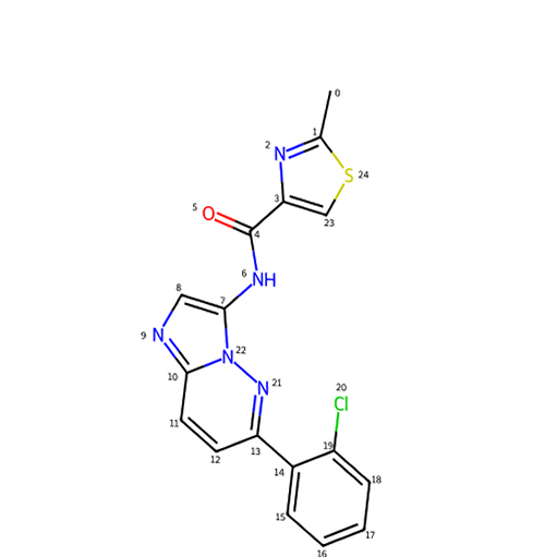 Cc1nc(C(=O)Nc2cnc3ccc(-c4ccccc4Cl)nn23)cs1